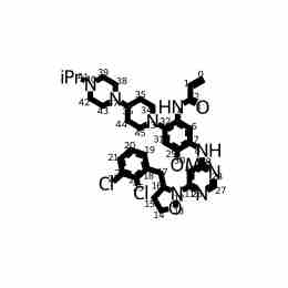 C=CC(=O)Nc1cc(Nc2cc(N3OCCC3Cc3cccc(Cl)c3Cl)ncn2)c(OC)cc1N1CCC(N2CCN(C(C)C)CC2)CC1